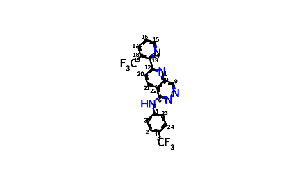 FC(F)(F)c1ccc(Nc2nncc3nc(-c4ncccc4C(F)(F)F)ccc23)cc1